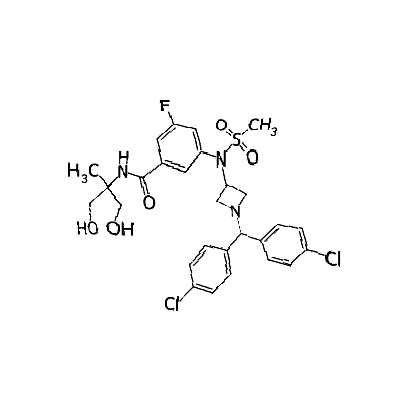 CC(CO)(CO)NC(=O)c1cc(F)cc(N(C2CN(C(c3ccc(Cl)cc3)c3ccc(Cl)cc3)C2)S(C)(=O)=O)c1